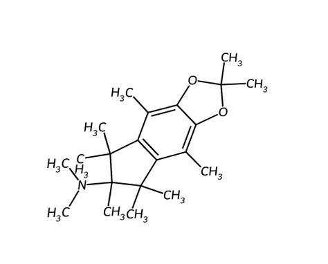 Cc1c2c(c(C)c3c1C(C)(C)C(C)(N(C)C)C3(C)C)OC(C)(C)O2